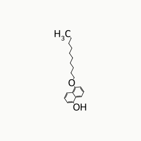 CCCCCCCCCCOc1cccc2c(O)cccc12